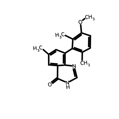 COc1ccc(C)c(-c2cc(C)cc3c(=O)[nH]cnc23)c1C